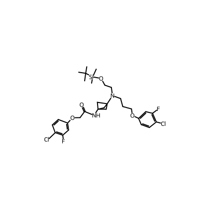 CC(C)(C)[Si](C)(C)OCCN(CCCOc1ccc(Cl)c(F)c1)C12CC(NC(=O)COc3ccc(Cl)c(F)c3)(C1)C2